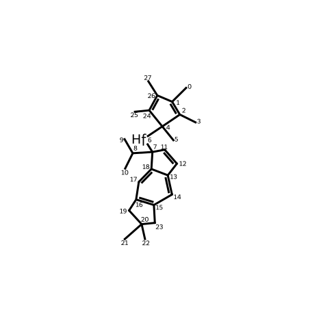 CC1=C(C)[C](C)([Hf][C]2(C(C)C)C=Cc3cc4c(cc32)CC(C)(C)C4)C(C)=C1C